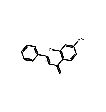 C=C(/C=C/c1ccccc1)c1ccc(CCC)cc1Cl